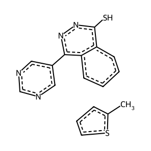 Cc1cccs1.Sc1nnc(-c2cncnc2)c2ccccc12